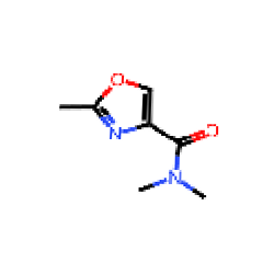 Cc1nc(C(=O)N(C)C)co1